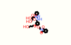 O=C1c2ccccc2C(=O)N1CCOc1ccc(CNc2nc3ccccc3n2[C@@H]2O[C@H](CO)[C@@H](O)[C@H]2O)cc1OCCCCO